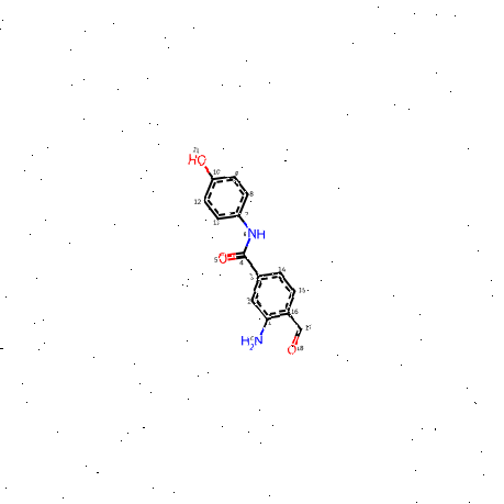 Nc1cc(C(=O)Nc2ccc(O)cc2)ccc1C=O